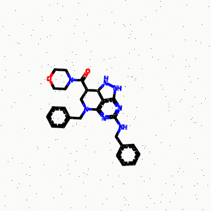 O=C(C1CN(Cc2ccccc2)c2nc(NCc3ccccc3)nc3c2C1NN3)N1CCOCC1